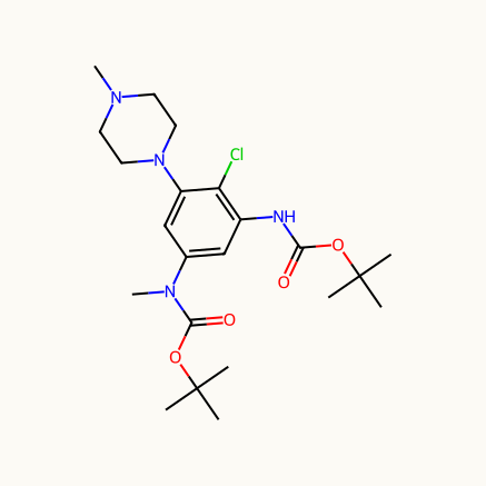 CN1CCN(c2cc(N(C)C(=O)OC(C)(C)C)cc(NC(=O)OC(C)(C)C)c2Cl)CC1